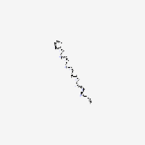 P#P=P\P=P/P=P\P=P/P=P\P=P/P=P\P=P/P=P\P=P/P=P\P=P/P